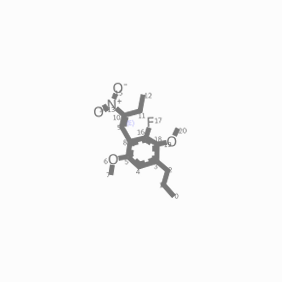 CCCc1cc(OC)c(/C=C(\CC)[N+](=O)[O-])c(F)c1OC